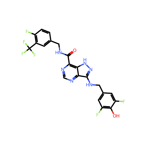 O=C(NCc1ccc(F)c(C(F)(F)F)c1)c1ncnc2c(NCc3cc(F)c(O)c(F)c3)n[nH]c12